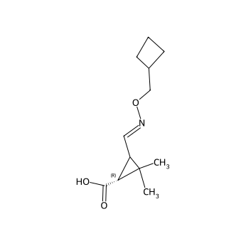 CC1(C)C(C=NOCC2CCC2)[C@H]1C(=O)O